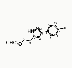 Cc1ccc(-c2cc(CCOC=O)[nH]n2)cc1